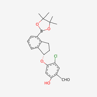 CC1(C)OB(c2cccc3c2CC[C@@H]3Oc2cc(O)c(C=O)cc2Cl)OC1(C)C